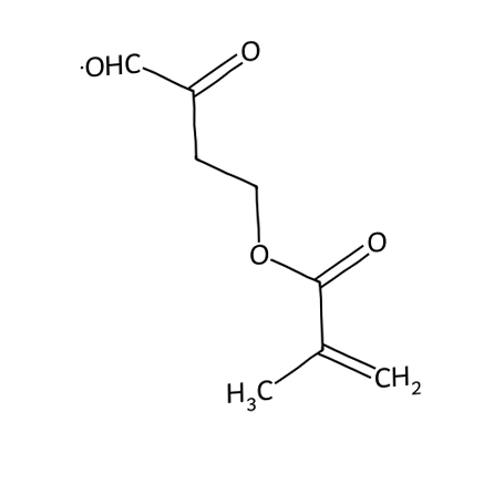 C=C(C)C(=O)OCCC(=O)[C]=O